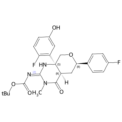 CN1C(=O)[C@@H]2C[C@H](c3ccc(F)cc3)OC[C@]2(c2cc(O)ccc2F)N/C1=N/C(=O)OC(C)(C)C